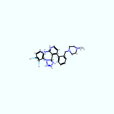 CN1CCN(Cc2ccccc2-c2ccnc(N)c2-c2nnnn2-c2cccc(F)c2F)CC1